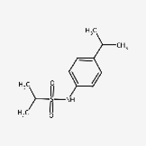 CC(C)c1ccc(NS(=O)(=O)C(C)C)cc1